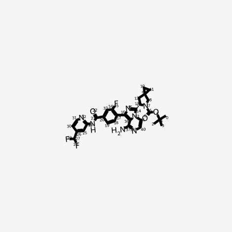 CC(C)(C)OC(=O)N1CC2(CC2)C[C@H]1c1nc(-c2ccc(C(=O)Nc3cc(C(F)F)ccn3)cc2F)c2c(N)nccn12